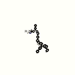 C/C=C\c1c(N)sc2cc(N(c3ccc(-c4ccccc4)cc3)c3ccc4ccc(-c5ccc(-c6ccc7sc8nc(N(c9ccc(-c%10ccccc%10)cc9)c9ccc%10ccc(-c%11ccccc%11)cc%10c9)ccc8c7c6)cc5)cc4c3)ccc12